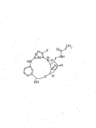 C=CC(=O)NC[C@H]1[C@H]2C[C@H]3[C@H]1Nc1nc(ncc1F)Nc1cccc(c1)C(O)CS[C@@H]3C2